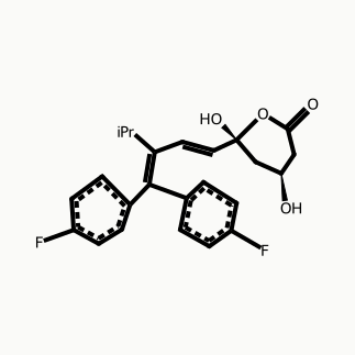 CC(C)C(/C=C/[C@@]1(O)C[C@H](O)CC(=O)O1)=C(c1ccc(F)cc1)c1ccc(F)cc1